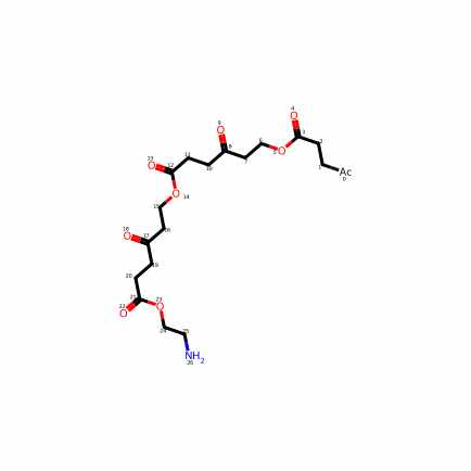 CC(=O)CCC(=O)OCCC(=O)CCC(=O)OCCC(=O)CCC(=O)OCCN